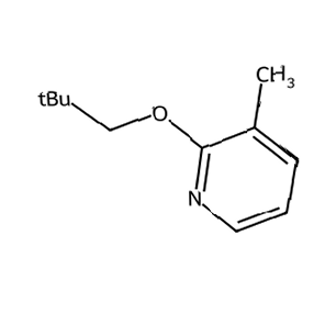 Cc1cccnc1OCC(C)(C)C